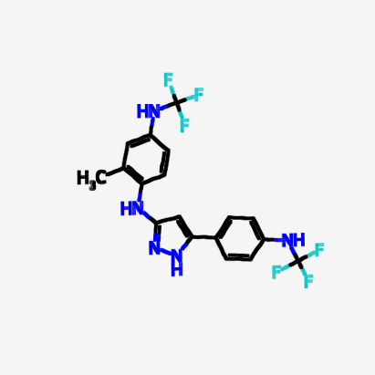 Cc1cc(NC(F)(F)F)ccc1Nc1cc(-c2ccc(NC(F)(F)F)cc2)[nH]n1